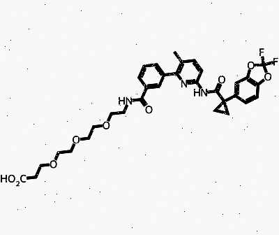 Cc1ccc(NC(=O)C2(c3ccc4c(c3)OC(F)(F)O4)CC2)nc1-c1cccc(C(=O)NCCOCCOCCOCCC(=O)O)c1